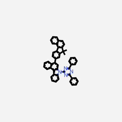 CC1(C)c2cc(-c3cc4c(c5ccccc35)c3ccccc3n4-c3nc(-c4ccccc4)nc(-c4ccccc4)n3)ccc2-c2c1ccc1ccccc21